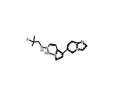 CC(C)(F)CNN1C=Cc2c(-c3ccc4nccn4c3)ccn2N1